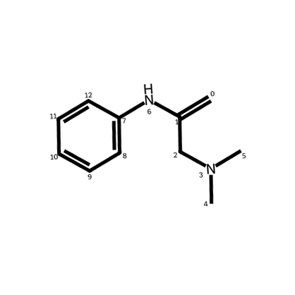 C=C(CN(C)C)Nc1ccccc1